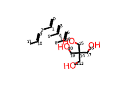 C=CC.C=CC.C=CC.C=CC.OCC(CO)(CO)CO